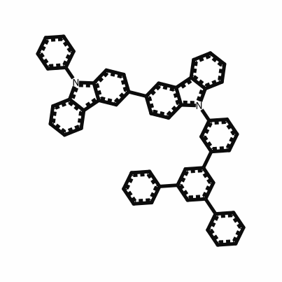 c1ccc(-c2cc(-c3ccccc3)cc(-c3cccc(-n4c5ccccc5c5cc(-c6ccc7c(c6)c6ccccc6n7-c6ccccc6)ccc54)c3)c2)cc1